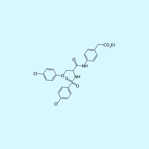 CCOC(=O)Cc1ccc(NC(=O)C(COc2ccc(Cl)cc2)NS(=O)(=O)c2ccc(Cl)cc2)cc1